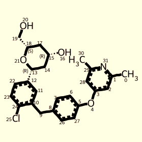 Cc1cc(Oc2ccc(Cc3cc([C@H]4C[C@@H](O)C[C@@H](CO)O4)ccc3Cl)cc2)cc(C)n1